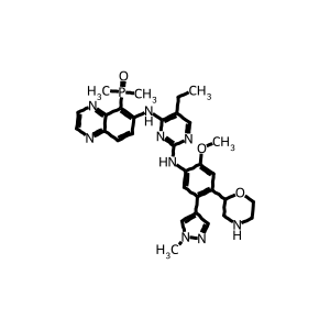 CCc1cnc(Nc2cc(-c3cnn(C)c3)c(C3CNCCO3)cc2OC)nc1Nc1ccc2nccnc2c1P(C)(C)=O